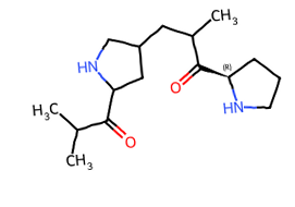 CC(C)C(=O)C1CC(CC(C)C(=O)[C@H]2CCCN2)CN1